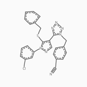 N#Cc1ccc(Cn2nnnc2-c2cnn(-c3cccc(Cl)c3)c2SCc2ccccc2)cc1